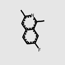 Cc1cc2ccc(F)cc2c(C)n1